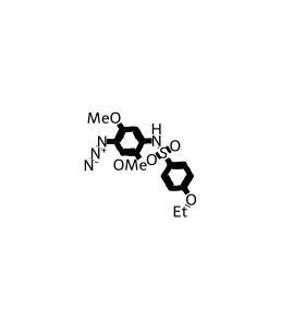 CCOc1ccc(S(=O)(=O)Nc2cc(OC)c(N=[N+]=[N-])cc2OC)cc1